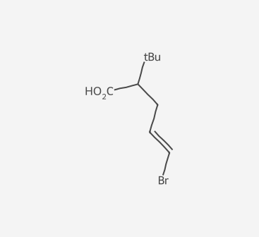 CC(C)(C)C(CC=CBr)C(=O)O